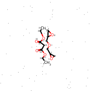 C(OCC1CO1)C1CO1.CCOC(=O)CC(=O)OCC